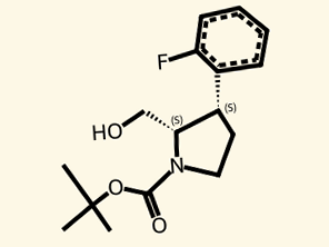 CC(C)(C)OC(=O)N1CC[C@@H](c2ccccc2F)[C@H]1CO